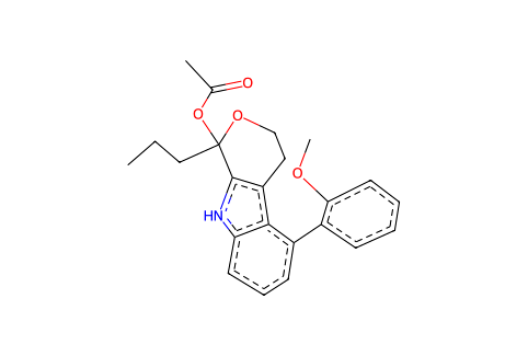 CCCC1(OC(C)=O)OCCc2c1[nH]c1cccc(-c3ccccc3OC)c21